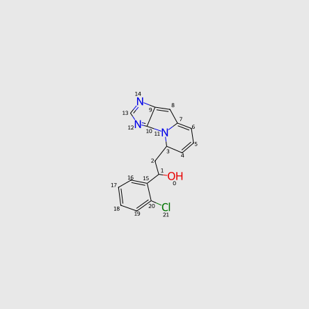 OC(CC1C=CC=c2cc3c(n21)=NC=N3)c1ccccc1Cl